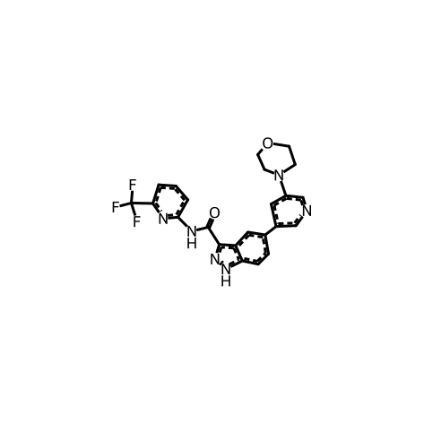 O=C(Nc1cccc(C(F)(F)F)n1)c1n[nH]c2ccc(-c3cncc(N4CCOCC4)c3)cc12